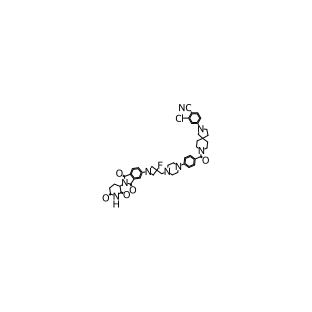 N#Cc1ccc(N2CCC3(CCN(C(=O)c4ccc(N5CCN(CC6(F)CN(c7ccc8c(c7)C(=O)N(C7CCC(=O)NC7=O)C8=O)C6)CC5)cc4)CC3)C2)cc1Cl